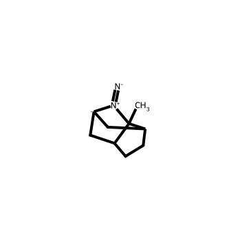 CC12C3CCC1C[C](C3)[N+]2=[N-]